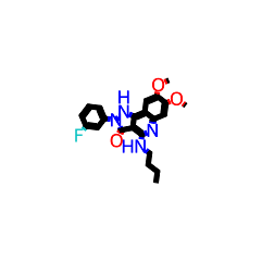 CCCCNc1nc2cc(OC)c(OC)cc2c2[nH]n(-c3cccc(F)c3)c(=O)c12